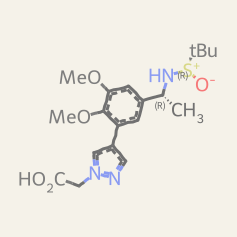 COc1cc([C@@H](C)N[S@@+]([O-])C(C)(C)C)cc(-c2cnn(CC(=O)O)c2)c1OC